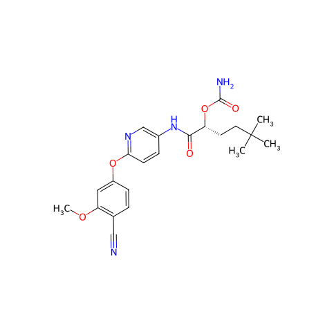 COc1cc(Oc2ccc(NC(=O)[C@@H](CCC(C)(C)C)OC(N)=O)cn2)ccc1C#N